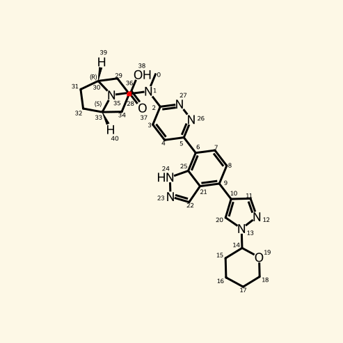 CN(c1ccc(-c2ccc(-c3cnn(C4CCCCO4)c3)c3cn[nH]c23)nn1)C1C[C@H]2CC[C@@H](C1)N2C(=O)O